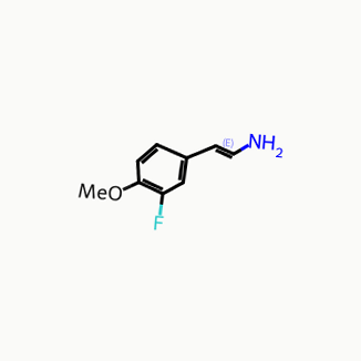 COc1ccc(/C=C/N)cc1F